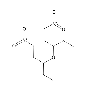 CCC(CC[N+](=O)[O-])OC(CC)CC[N+](=O)[O-]